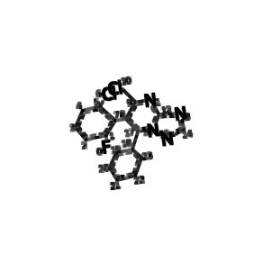 Fc1cccc(Cl)c1-c1c(Cl)nc2ncnn2c1-c1ccccc1